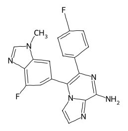 Cn1cnc2c(F)cc(-c3c(-c4ccc(F)cc4)nc(N)c4nccn34)cc21